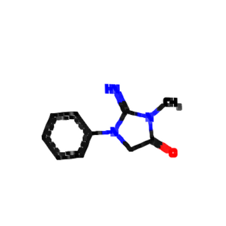 CN1C(=N)N(c2ccccc2)CC1=O